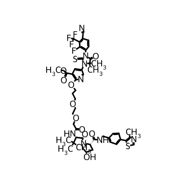 COC(=O)c1cc(N2C(=S)N(c3ccc(C#N)c(C(F)(F)F)c3F)C(=O)C2(C)C)cnc1OCCCOCCOCC(=O)N[C@H](C(=O)N1C[C@H](O)C[C@H]1C(=O)NCc1ccc(-c2scnc2C)cc1)C(C)(C)C